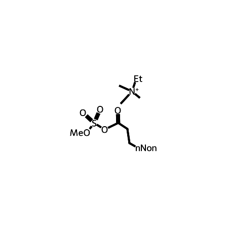 CCCCCCCCCCCC(=O)OS(=O)(=O)OC.CC[N+](C)(C)C